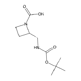 CC(C)(C)OC(=O)NCC1CCN1C(=O)O